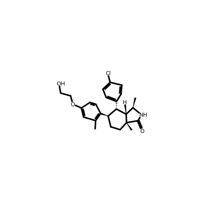 Cc1cc(OCCO)ccc1[C@@H]1CC[C@@]2(C)C(=O)N[C@H](C)[C@H]2[C@H]1c1ccc(Cl)cc1